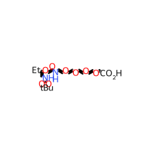 CCC(CNC(=O)OC(C)(C)C)OCC(=O)NCCOCCOCCOCCOCC(=O)O